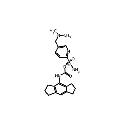 CN(C)Cc1ccc([S@](N)(=O)=NC(=O)Nc2c3c(cc4c2CCC4)CCC3)nc1